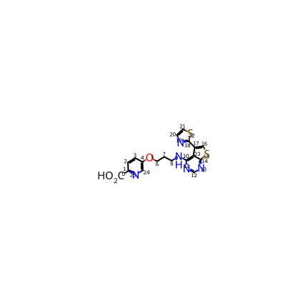 O=C(O)c1ccc(OCCCNc2ncnc3scc(-c4nccs4)c23)cn1